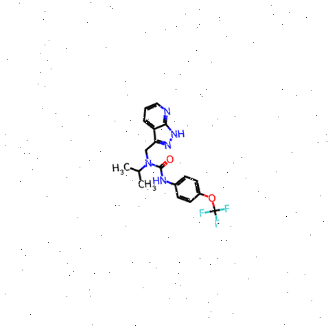 CC(C)N(Cc1n[nH]c2ncccc12)C(=O)Nc1ccc(OC(F)(F)F)cc1